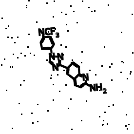 Nc1ccc2cc(-c3ncn(-c4ccc(NC(F)(F)F)cc4)n3)ccc2n1